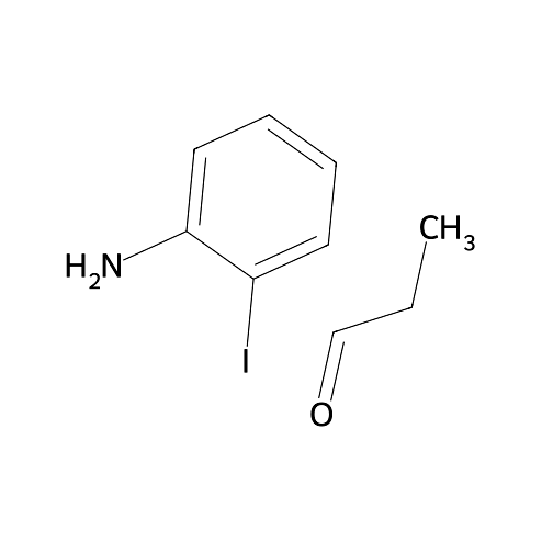 CCC=O.Nc1ccccc1I